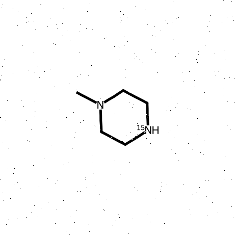 CN1CC[15NH]CC1